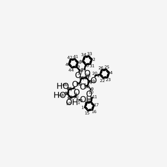 OC[C@H]1OC(O[C@@H]2O[C@H](COCc3ccccc3)[C@@H](OCc3ccccc3)[C@H](OCc3ccccc3)[C@H]2OCc2ccccc2)[C@H](O)[C@@H](O)[C@@H]1O